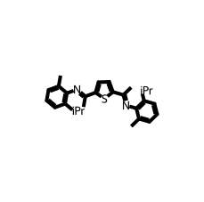 CC(=Nc1c(C)cccc1C(C)C)c1ccc(C(C)=Nc2c(C)cccc2C(C)C)s1